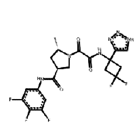 C[C@H]1C[C@H](C(=O)Nc2cc(F)c(F)c(F)c2)CN1C(=O)C(=O)NC1(c2c[nH]nn2)CC(F)(F)C1